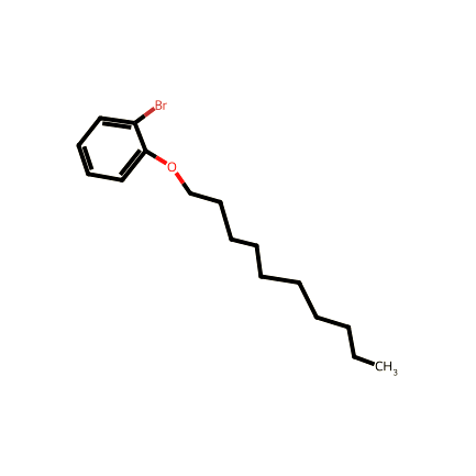 CCCCCCCCCCOc1ccccc1Br